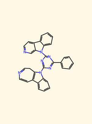 C1=Cc2c(n(-c3nc(-c4ccccc4)nc(-n4c5ccccc5c5ccncc54)n3)c3ccccc23)CC=N1